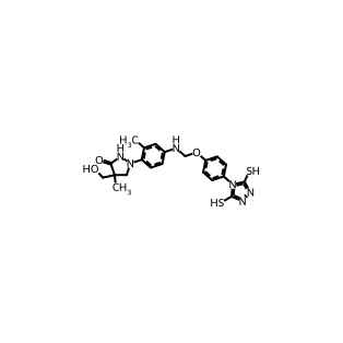 Cc1cc(NCOc2ccc(-n3c(S)nnc3S)cc2)ccc1N1CC(C)(CO)C(=O)N1